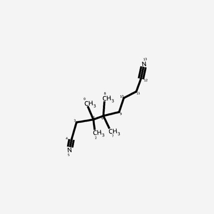 CC(C)(CC#N)C(C)(C)CCCC#N